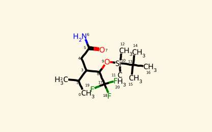 CC(C)C(CC(N)=O)C(O[Si](C)(C)C(C)(C)C)C(F)(F)F